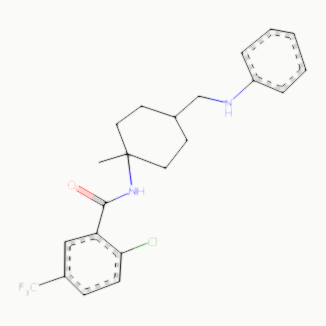 CC1(NC(=O)c2cc(C(F)(F)F)ccc2Cl)CCC(CNc2ccccc2)CC1